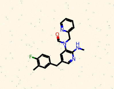 CNc1ncc(Cc2ccc(F)c(C)c2)cc1N(C=O)Cc1ccccn1